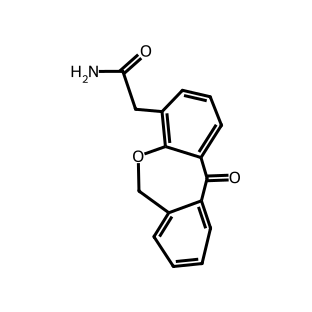 NC(=O)Cc1cccc2c1OCc1ccccc1C2=O